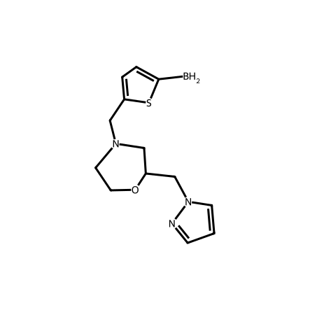 Bc1ccc(CN2CCOC(Cn3cccn3)C2)s1